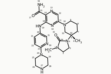 CN1CCN([C@@]2(C)CCCN(c3cnc(C(N)=O)c(Nc4ccc(N5CCNCC5)nc4)n3)C2)C1=O